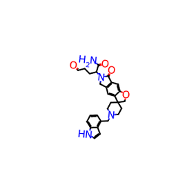 NC(=O)C(CCC=O)N1Cc2cc3c(cc2C1=O)OCC31CCN(Cc2cccc3[nH]ccc23)CC1